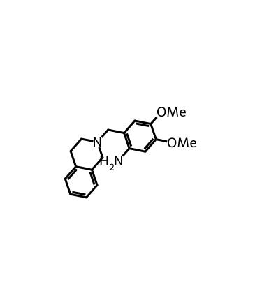 COc1cc(N)c(CN2CCc3ccccc3C2)cc1OC